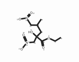 CCOC(=O)C(O)(CC(C)C[N+](=O)[O-])C[N+](=O)[O-]